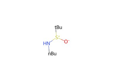 CCCCN[S+]([O-])C(C)(C)C